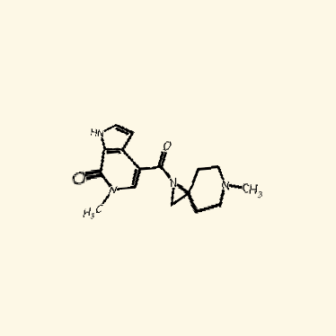 CN1CCC2(CC1)CN2C(=O)c1cn(C)c(=O)c2[nH]ccc12